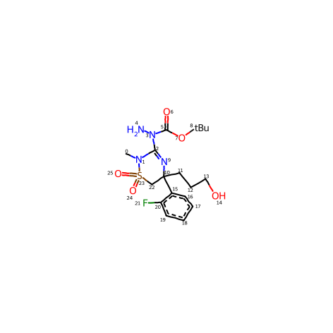 CN1C(N(N)C(=O)OC(C)(C)C)=NC(CCCO)(c2ccccc2F)CS1(=O)=O